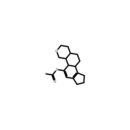 CC(=O)OC1=CC2=C(CCC2)C2CCC3CCOCC3C12